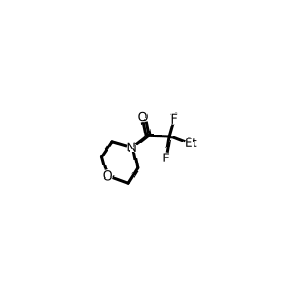 CCC(F)(F)C(=O)N1CCOCC1